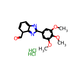 COc1cc(C2=NC3=CC=CC(C=O)C3=N2)cc(OC)c1OC.Cl.Cl